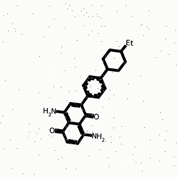 CCC1CCC(c2ccc(C3=CC(N)=C4C(=O)C=CC(N)=C4C3=O)cc2)CC1